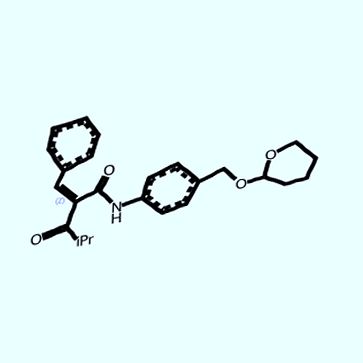 CC(C)C(=O)/C(=C/c1ccccc1)C(=O)Nc1ccc(COC2CCCCO2)cc1